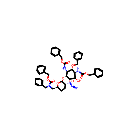 [N-]=[N+]=N[C@@H]1CC[C@@H](CN(Cc2ccccc2)C(=O)OCc2ccccc2)O[C@@H]1O[C@H]1[C@H](O)[C@@H](O)[C@H](NC(=O)OCc2ccccc2)[C@@H](OCc2ccccc2)[C@@H]1NC(=O)OCc1ccccc1